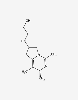 CC1=N[C@@H](C)C(C)=C2CC(NCCO)CN12